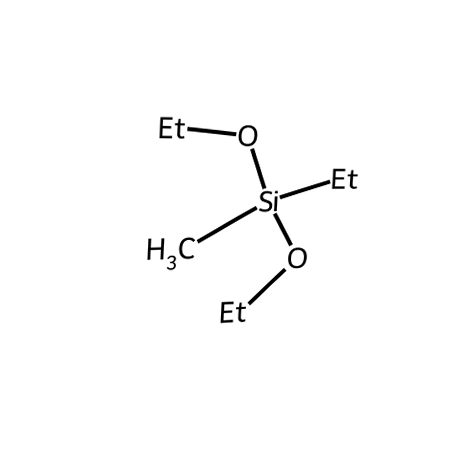 [CH2]C[Si](C)(OCC)OCC